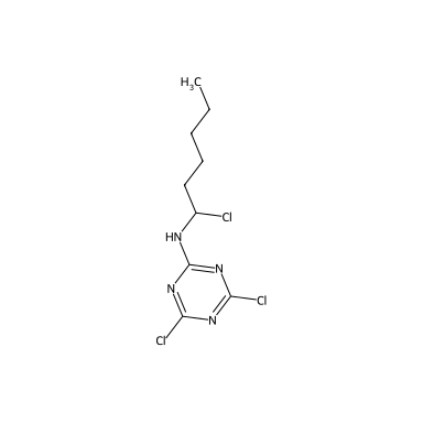 CCCCCC(Cl)Nc1nc(Cl)nc(Cl)n1